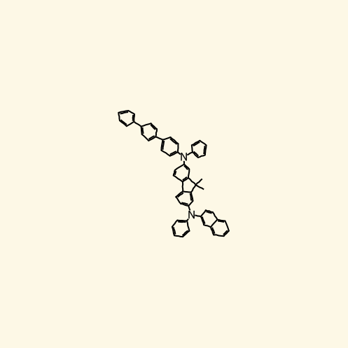 CC1(C)c2cc(N(c3ccccc3)c3ccc(-c4ccc(-c5ccccc5)cc4)cc3)ccc2-c2ccc(N(c3ccccc3)c3ccc4ccccc4c3)cc21